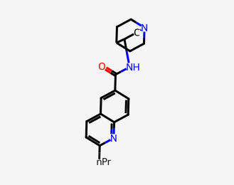 CCCc1ccc2cc(C(=O)NC3CN4CCC3CC4)ccc2n1